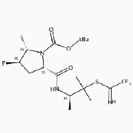 C[C@H]1[C@H](F)C[C@@H](C(=O)N[C@H](C)C(C)(C)SC(=N)C(F)(F)F)N1C(=O)OC(C)(C)C